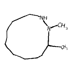 CC1CCCCCCCNN1C